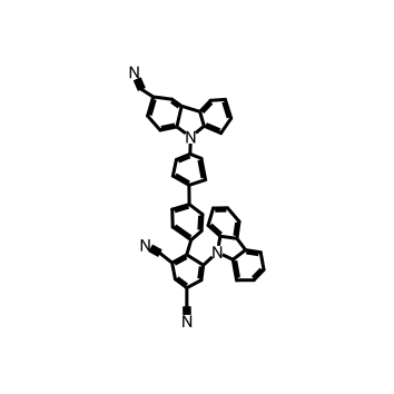 N#Cc1cc(C#N)c(-c2ccc(-c3ccc(-n4c5ccccc5c5cc(C#N)ccc54)cc3)cc2)c(-n2c3ccccc3c3ccccc32)c1